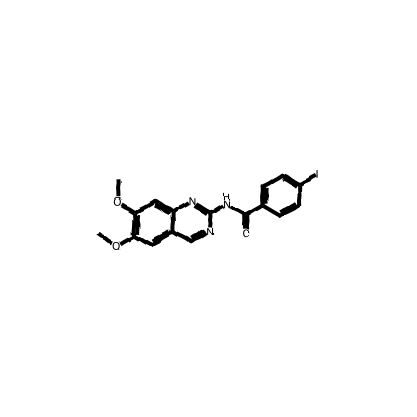 COc1cc2cnc(NC(=O)c3ccc(I)cc3)nc2cc1OC